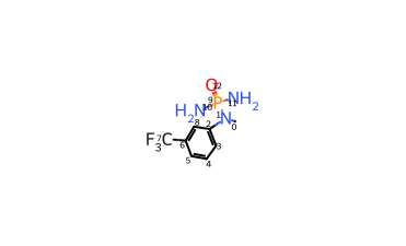 CN(c1cccc(C(F)(F)F)c1)P(N)(N)=O